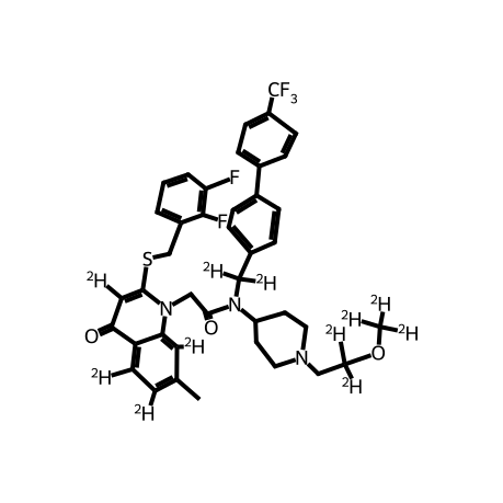 [2H]c1c(C)c([2H])c2c(c1[2H])c(=O)c([2H])c(SCc1cccc(F)c1F)n2CC(=O)N(C1CCN(CC([2H])([2H])OC([2H])([2H])[2H])CC1)C([2H])([2H])c1ccc(-c2ccc(C(F)(F)F)cc2)cc1